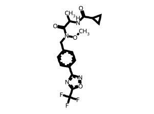 CON(Cc1ccc(-c2noc(C(F)(F)F)n2)cc1)C(=O)C(C)NC(=O)C1CC1